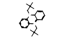 CC(C)(C)CN1c2ccccc2[N+](CC(C)(C)C)=C2C=CC=CC21